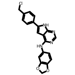 ClCc1ccc(-c2cc3c(Nc4ccc5c(c4)OCO5)ncnc3[nH]2)cc1